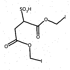 O=C(CC(C(=O)OCI)S(=O)(=O)O)OCI